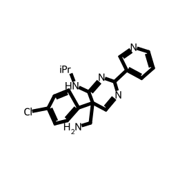 CC(C)NC1=NC(c2cccnc2)N=CC1(CN)c1ccc(Cl)cc1